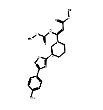 CCCCCCCCCc1ccc(-c2noc([C@@H]3CCCN(C(=CC(=O)OC(C)(C)C)NC(=O)OC(C)(C)C)C3)n2)cc1